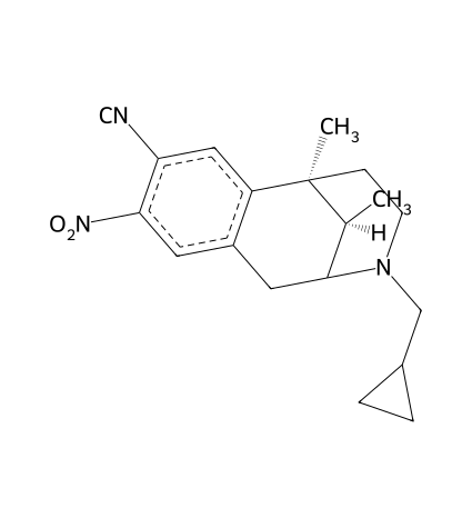 [C-]#[N+]c1cc2c(cc1[N+](=O)[O-])CC1[C@H](C)[C@]2(C)CCN1CC1CC1